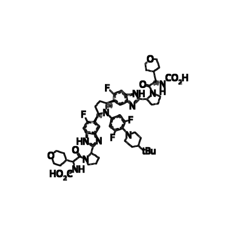 CC(C)(C)C1CCN(c2c(F)cc(N3[C@@H](c4cc5nc(C6CCCN6C(=O)C(NC(=O)O)C6CCOCC6)[nH]c5cc4F)CC[C@H]3c3cc4nc(C5CCCN5C(=O)[C@@H](NC(=O)O)C5CCOCC5)[nH]c4cc3F)cc2F)CC1